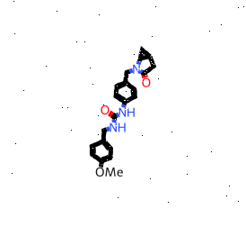 COc1ccc(CNC(=O)Nc2ccc(CN3C(=O)CC4CC43)cc2)cc1